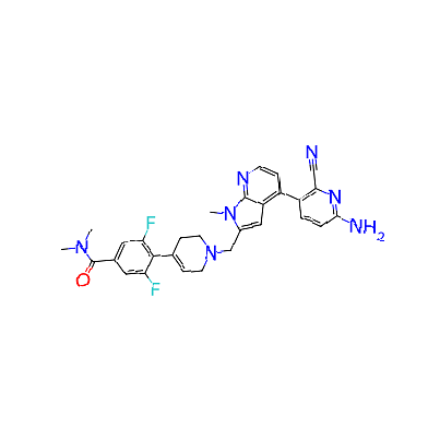 CN(C)C(=O)c1cc(F)c(C2=CCN(Cc3cc4c(-c5ccc(N)nc5C#N)ccnc4n3C)CC2)c(F)c1